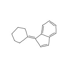 C1=Cc2ccccc2C1=C1CCCCC1